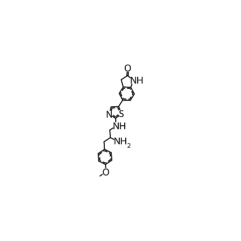 COc1ccc(CC(N)CNc2ncc(-c3ccc4c(c3)CC(=O)N4)s2)cc1